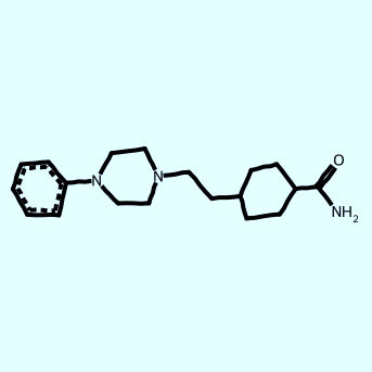 NC(=O)C1CCC(CCN2CCN(c3ccccc3)CC2)CC1